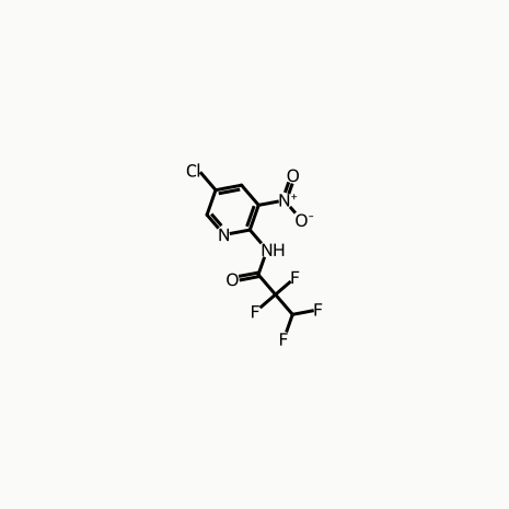 O=C(Nc1ncc(Cl)cc1[N+](=O)[O-])C(F)(F)C(F)F